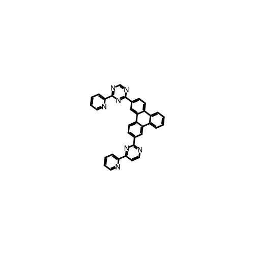 c1ccc(-c2ccnc(-c3ccc4c(c3)c3ccccc3c3ccc(-c5ncnc(-c6ccccn6)n5)cc34)n2)nc1